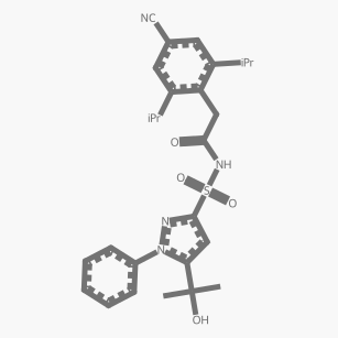 CC(C)c1cc(C#N)cc(C(C)C)c1CC(=O)NS(=O)(=O)c1cc(C(C)(C)O)n(-c2ccccc2)n1